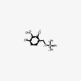 CC(C)[Si](OCc1ccc(Cl)c(C=O)c1Cl)(C(C)C)C(C)C